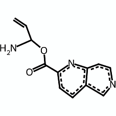 C=CC(N)OC(=O)c1ccc2cnccc2n1